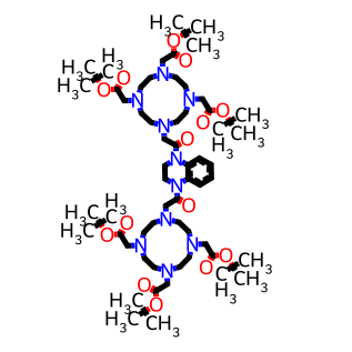 CC(C)(C)OC(=O)CN1CCN(CC(=O)OC(C)(C)C)CCN(CC(=O)N2CCN(C(=O)CN3CCN(CC(=O)OC(C)(C)C)CCN(CC(=O)OC(C)(C)C)CCN(CC(=O)OC(C)(C)C)CC3)c3ccccc32)CCN(CC(=O)OC(C)(C)C)CC1